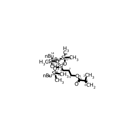 C=C(C)C(=O)OCCC[Si](O[Si](C)(C)CCCC)(O[Si](C)(C)CCCC)O[Si](C)(C)CCCC